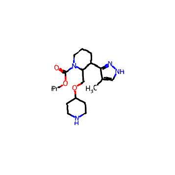 Cc1c[nH]nc1C1CCCN(C(=O)OC(C)C)C1COC1CCNCC1